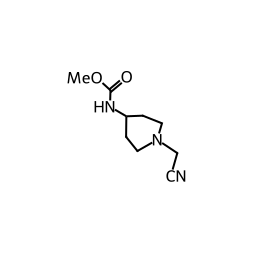 COC(=O)NC1CCN(CC#N)CC1